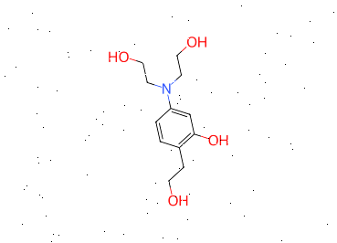 OCCc1ccc(N(CCO)CCO)cc1O